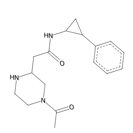 CC(=O)N1CCNC(CC(=O)NC2CC2c2ccccc2)C1